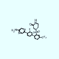 Nc1cnc(-c2ccc(-c3ccc(C(F)(F)F)cc3S(=O)(=O)N3CCNC(=O)C3)cc2F)cn1